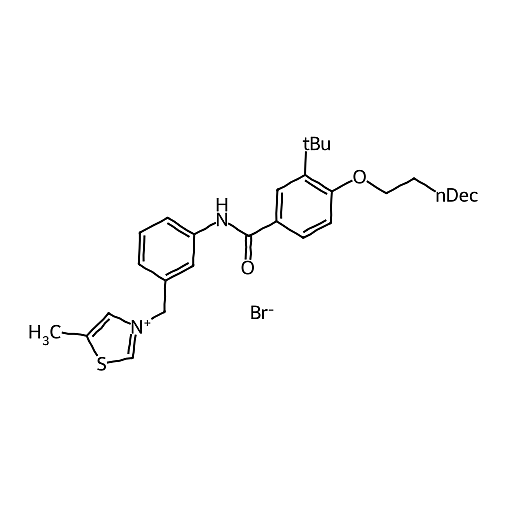 CCCCCCCCCCCCOc1ccc(C(=O)Nc2cccc(C[n+]3csc(C)c3)c2)cc1C(C)(C)C.[Br-]